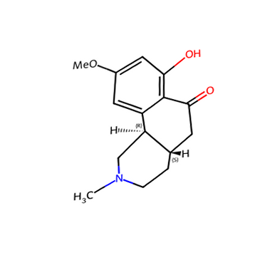 COc1cc(O)c2c(c1)[C@@H]1CN(C)CC[C@H]1CC2=O